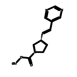 CC(C)(C)OC(=O)N1CC[C@@H](C=Cc2cncnc2)C1